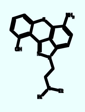 CCN(CC)CCn1nc2c3c(c(N)ccc31)Sc1cccc(O)c1-2